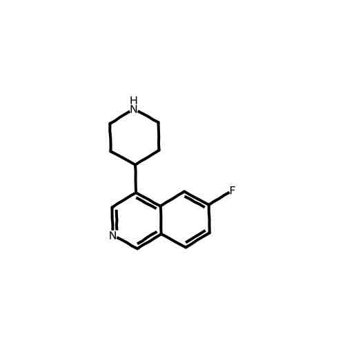 Fc1ccc2cncc(C3CCNCC3)c2c1